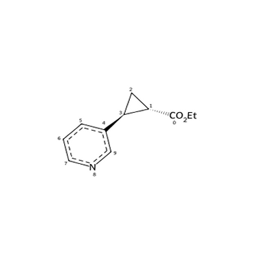 CCOC(=O)[C@H]1C[C@@H]1c1cccnc1